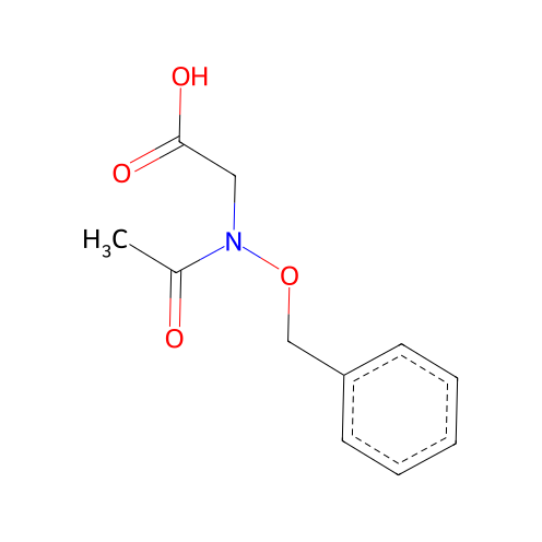 CC(=O)N(CC(=O)O)OCc1ccccc1